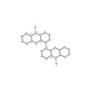 Brc1c2ccccc2cc2c(-c3cccc4c(Br)c5ccccc5cc34)cccc12